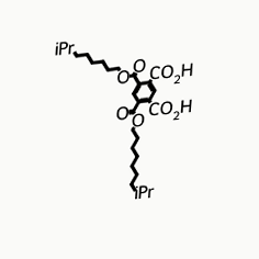 CC(C)CCCCCCCOC(=O)c1cc(C(=O)OCCCCCCC(C)C)c(C(=O)O)cc1C(=O)O